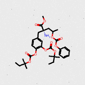 CCC(C)(C)OC(=O)Oc1ccc(C[C@](N)(CC(C)OC(=O)Oc2ccccc2)C(=O)OC)cc1OC(=O)OC(C)(C)CC